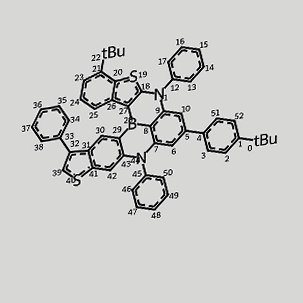 CC(C)(C)c1ccc(-c2cc3c4c(c2)N(c2ccccc2)c2sc5c(C(C)(C)C)cccc5c2B4c2cc4c(-c5ccccc5)csc4cc2N3c2ccccc2)cc1